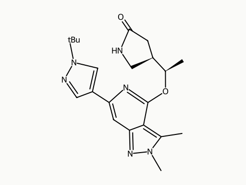 Cc1c2c(O[C@H](C)[C@H]3CNC(=O)C3)nc(-c3cnn(C(C)(C)C)c3)cc2nn1C